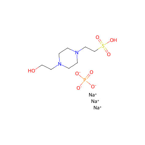 O=P([O-])([O-])[O-].O=S(=O)(O)CCN1CCN(CCO)CC1.[Na+].[Na+].[Na+]